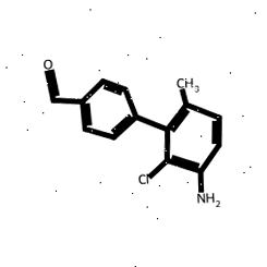 Cc1ccc(N)c(Cl)c1-c1ccc(C=O)cc1